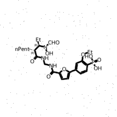 CCCCC[C@@H](C(=O)NCNC(=O)c1ccc(-c2ccc(P(=O)(O)O)c(OCC)c2)o1)[C@@H](CC)N(O)C=O